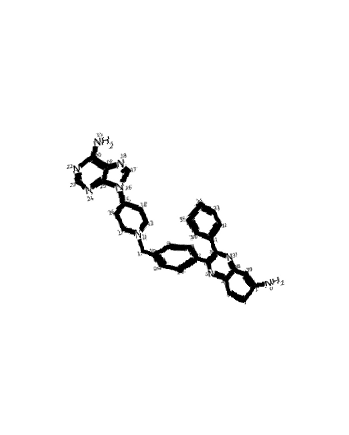 Nc1ccc2nc(-c3ccc(CN4CCC(n5cnc6c(N)ncnc65)CC4)cc3)c(-c3ccccc3)nc2c1